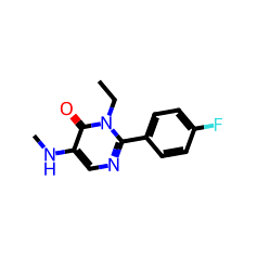 CCn1c(-c2ccc(F)cc2)ncc(NC)c1=O